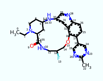 CCN1CC[C@H]2C[C@H]1C(=O)NCC(F)COc1c(-c3cnc(C)nc3)ccc3ncc(cc13)N2